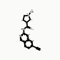 C#Cc1ccc2cnc(NC(=O)C3CCN(C#N)C3)cc2c1